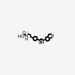 C[C@H](CCc1ccc(-c2cc(-c3ccc4cnccc4c3)no2)cc1)NC(=O)O